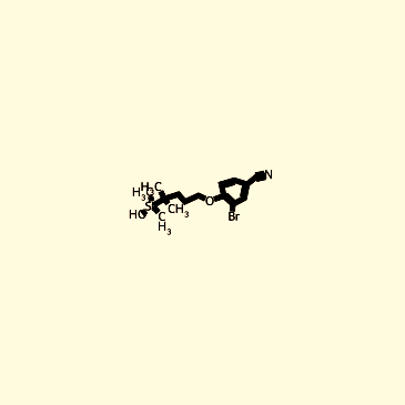 CC(C)(CCCOc1ccc(C#N)cc1Br)[Si](C)(C)O